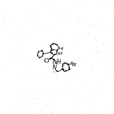 O=C(N/N=C\c1ccc(Br)cc1)c1[nH]c2c(F)cccc2c1-c1ccccc1